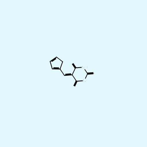 O=C1NC(=O)C(=CC2=CC=CC2)C(=O)N1